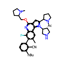 CCCCc1cccc(-c2c(C)cc3c(nc(OCC4CCCN4C)c4cc(C5CCCN5C(C)=O)n(C5CCNC5)c43)c2F)c1C#N